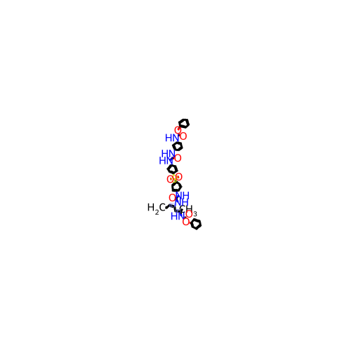 C=C/C=C(\C=C(/C)NC(=O)Oc1ccccc1)NC(=O)Nc1ccc(S(=O)(=O)c2ccc(NC(=O)Nc3cccc(NC(=O)Oc4ccccc4)c3)cc2)cc1